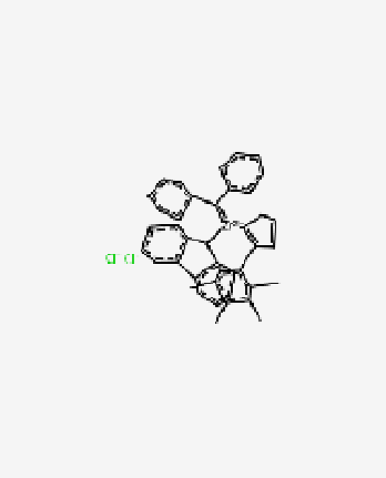 Cc1cc(C2=[C]([Zr+2](=[C](c3ccccc3)c3ccccc3)[CH]3c4ccccc4-c4ccccc43)CC=C2)c(C)c(C)c1C.[Cl-].[Cl-]